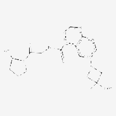 COC1(C)CN(c2ccc3nccc(C(=O)NCC(=O)N4CSCC4C#N)c3c2)C1